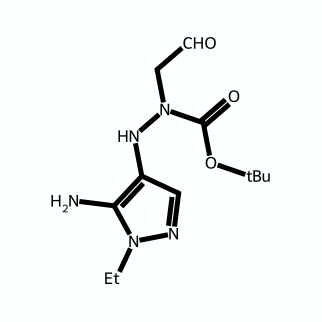 CCn1ncc(NN(CC=O)C(=O)OC(C)(C)C)c1N